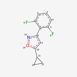 Fc1cccc(F)c1-c1cc(C2CC2)on1